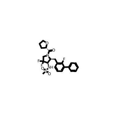 CS(=O)(=O)N[C@@H]1[C@H](Cc2cccc(-c3ccccc3)c2F)N(C(=O)[C@@H]2CCCO2)CC1(F)F